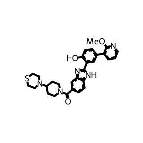 COc1ncccc1-c1ccc(O)c(-c2nc3cc(C(=O)N4CCC(N5CCSCC5)CC4)ccc3[nH]2)c1